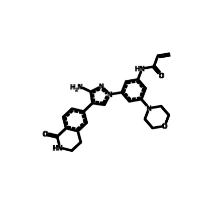 C=CC(=O)Nc1cc(N2CCOCC2)cc(-n2cc(-c3ccc4c(c3)CCNC4=O)c(N)n2)c1